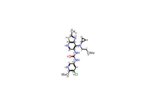 COCCN(c1c(NC(=O)Nc2cnc(OC)c(Cl)c2)cnc2sc(C)nc12)C1CC1